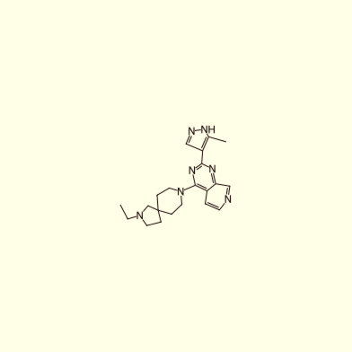 CCN1CCC2(CCN(c3nc(-c4cn[nH]c4C)nc4cnccc34)CC2)C1